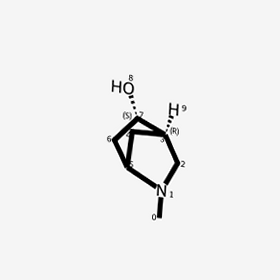 CN1C[C@H]2CC1C[C@@H]2O